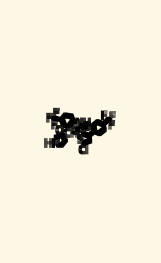 C[C@@]1(Oc2cc(NS(=O)(=O)c3sc(Cl)cc3-c3ccc(C(F)(F)F)cc3)ccc2C(F)(F)F)CCNC1